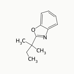 CCC(C)(C)c1nc2ccccc2o1